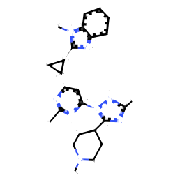 Cc1nc([C@@H]2C[C@H]2c2nc3ccccc3n2C)cc(-n2nc(C)nc2C2CCN(C)CC2)n1